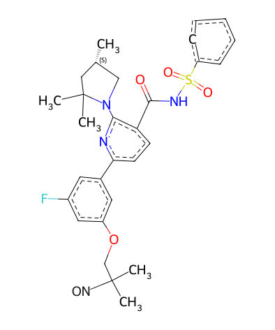 C[C@@H]1CN(c2nc(-c3cc(F)cc(OCC(C)(C)N=O)c3)ccc2C(=O)NS(=O)(=O)c2ccccc2)C(C)(C)C1